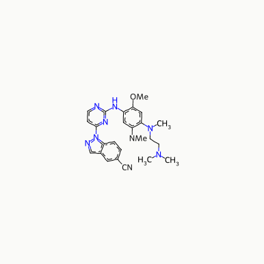 CNc1cc(Nc2nccc(-n3ncc4cc(C#N)ccc43)n2)c(OC)cc1N(C)CCN(C)C